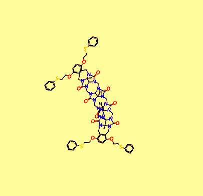 C[C@]12C3N4CN5C(=O)N6CN7C(=O)N8CN9C(=O)N%10Cc%11c(OCCSc%12ccccc%12)ccc(OCCSc%12ccccc%12)c%11CN%11C(=O)N%12CN%13C(=O)N(CN%14C(=O)N(CN3C(=O)N1Cc1c(OCCSc3ccccc3)ccc(OCCSc3ccccc3)c1CN2C4=O)C5[C@H]%146)[C@@H]7[C@@]8%13N[C@@]9%12[C@]%11%10C